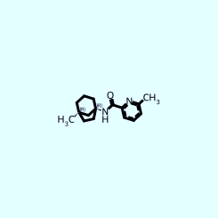 Cc1cccc(C(=O)N[C@]23CCC[C@](C)(CC2)C3)n1